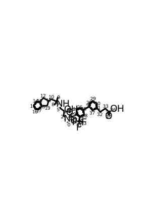 CN(CC(O)CNC(C)(C)CC1Cc2ccccc2C1)S(=O)(=O)c1ccc(-c2cccc(CCC(=O)O)c2)cc1C(F)(F)F